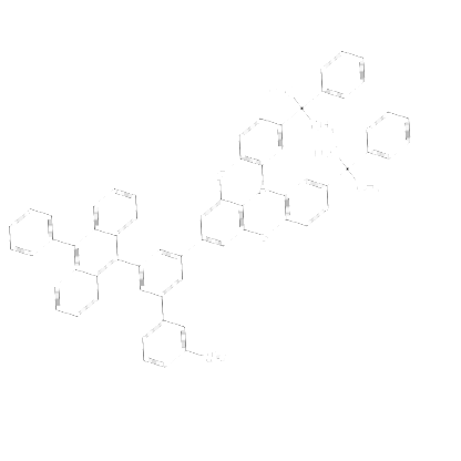 CC(C)(C)c1cccc(-c2cc(-c3cc4c5c(c3)Sc3ccc(C(C)(C)c6ccccc6)cc3B5c3cc(C(C)(C)c5ccccc5)ccc3S4)cc(-c3c4ccccc4c(-c4ccccc4)c4ccccc34)c2)c1